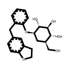 OC[C@H]1C[C@@H](Oc2ccccc2Cc2ccc3c(c2)CCO3)[C@H](O)[C@@H](O)[C@@H]1O